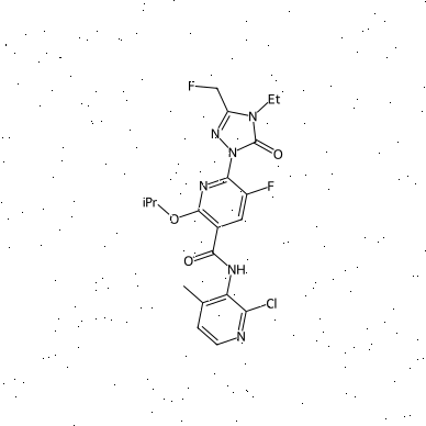 CCn1c(CF)nn(-c2nc(OC(C)C)c(C(=O)Nc3c(C)ccnc3Cl)cc2F)c1=O